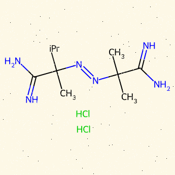 CC(C)C(C)(N=NC(C)(C)C(=N)N)C(=N)N.Cl.Cl